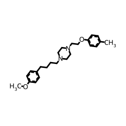 COc1ccc(CCCCN2CCN(CCOc3ccc(C)cc3)CC2)cc1